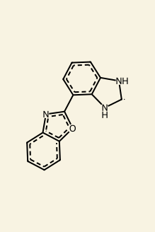 [CH]1Nc2cccc(-c3nc4ccccc4o3)c2N1